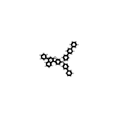 C1=CCC(c2ccc(N(c3ccc(C4=CCC(c5ccccc5)C=C4)cc3)c3ccc4c(c3)oc3cc(-c5ccccc5)c5ccccc5c34)cc2)C=C1